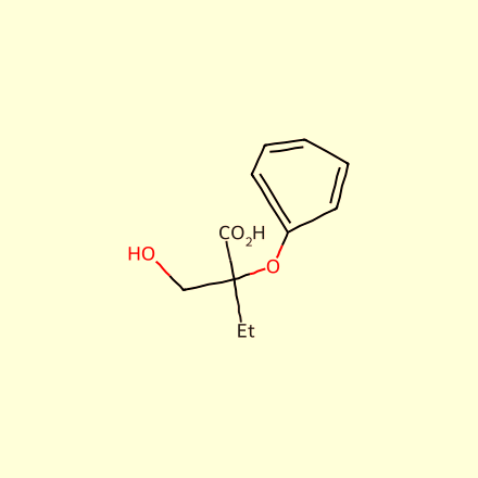 CCC(CO)(Oc1ccccc1)C(=O)O